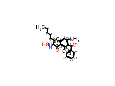 CCCCCC/C(=N\O)C(=O)c1c(C)cc(C)c(C(=O)c2ccccc2)c1C